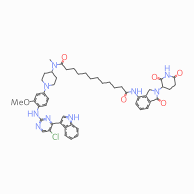 COc1cc(N2CCC(N(C)C(=O)CCCCCCCCCCC(=O)Nc3cccc4c3CN(C3CCC(=O)NC3=O)C4=O)CC2)ccc1Nc1ncc(Cl)c(-c2c[nH]c3ccccc23)n1